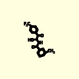 Cc1cccc(C(=O)NC(O)C(=O)c2ccc(C(F)(F)F)cc2)c1